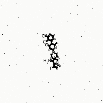 CC1=NC(N2CCC3(CC2)Cn2ncc(F)c2C3N)=CC(=O)[C@H]1c1cccc(Cl)c1Cl